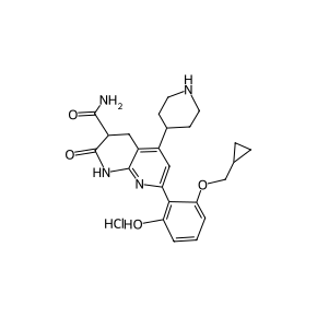 Cl.NC(=O)C1Cc2c(C3CCNCC3)cc(-c3c(O)cccc3OCC3CC3)nc2NC1=O